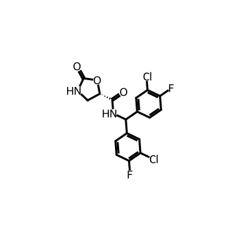 O=C1NC[C@@H](C(=O)NC(c2ccc(F)c(Cl)c2)c2ccc(F)c(Cl)c2)O1